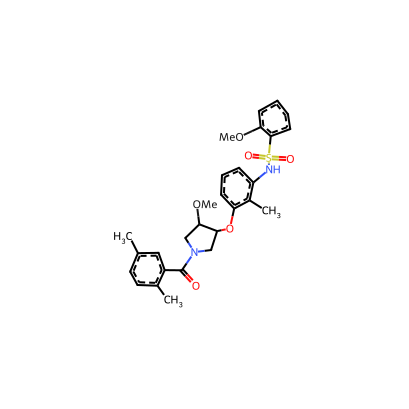 COc1ccccc1S(=O)(=O)Nc1cccc(OC2CN(C(=O)c3cc(C)ccc3C)CC2OC)c1C